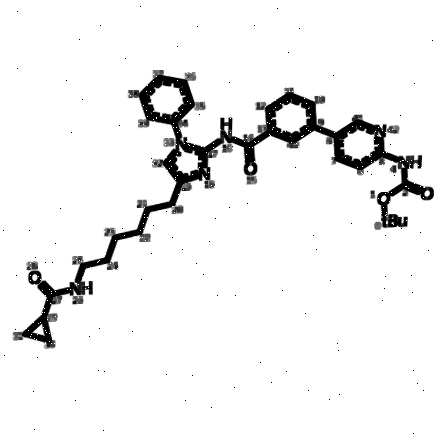 CC(C)(C)OC(=O)Nc1ccc(-c2cccc(C(=O)Nc3nc(CCCCCCNC(=O)C4CC4)cn3-c3ccccc3)c2)cn1